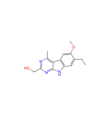 CCc1cc2[nH]c3nc(CO)nc(C)c3c2cc1OC